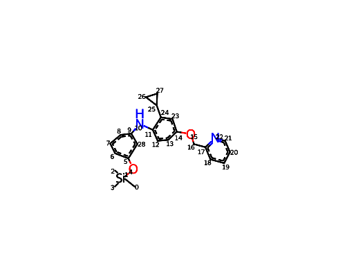 C[Si](C)(C)Oc1cccc(Nc2ccc(OCc3ccccn3)cc2C2CC2)c1